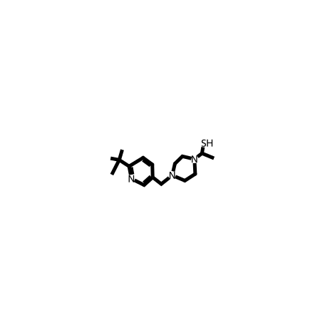 CC(S)N1CCN(Cc2ccc(C(C)(C)C)nc2)CC1